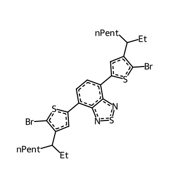 CCCCCC(CC)c1cc(-c2ccc(-c3cc(C(CC)CCCCC)c(Br)s3)c3nsnc23)sc1Br